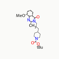 COc1cccc2c(=O)n(CCCC3CCN(C(=O)OC(C)(C)C)CC3)c(C)nc12